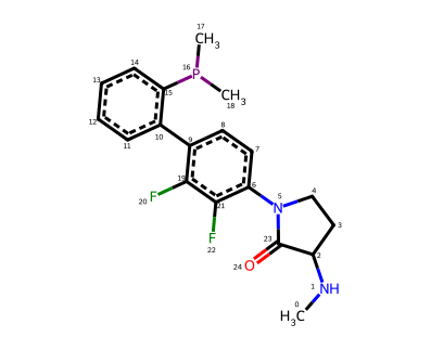 CNC1CCN(c2ccc(-c3ccccc3P(C)C)c(F)c2F)C1=O